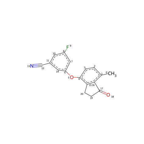 Cc1ccc(Oc2cc(F)cc(C#N)c2)c2c1C(=O)CC2